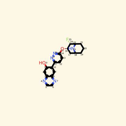 Oc1cc2nccnc2cc1-c1ccc(O[C@H]2CC3CCCC(N3)[C@H]2F)nn1